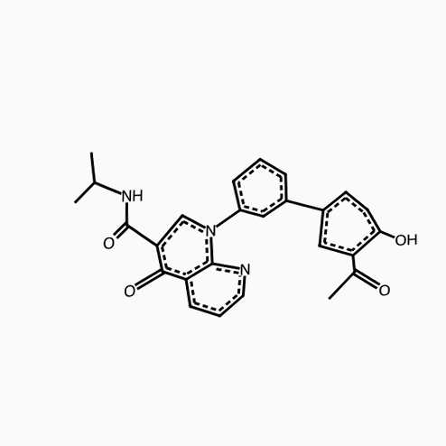 CC(=O)c1cc(-c2cccc(-n3cc(C(=O)NC(C)C)c(=O)c4cccnc43)c2)ccc1O